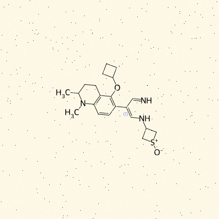 CC1CCc2c(ccc(/C(C=N)=C/NC3C[S+]([O-])C3)c2OC2CCC2)N1C